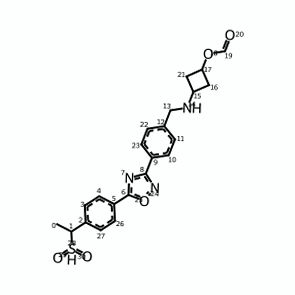 CC(c1ccc(-c2nc(-c3ccc(CNC4CC(OC=O)C4)cc3)no2)cc1)[SH](=O)=O